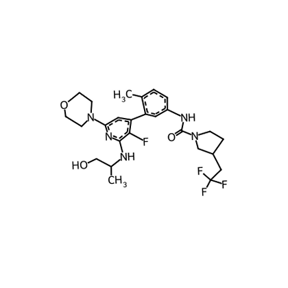 Cc1ccc(NC(=O)N2CCC(CC(F)(F)F)C2)cc1-c1cc(N2CCOCC2)nc(NC(C)CO)c1F